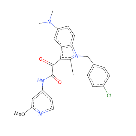 COc1cc(NC(=O)C(=O)c2c(C)n(Cc3ccc(Cl)cc3)c3ccc(N(C)C)cc23)ccn1